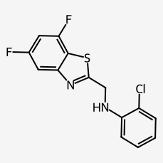 Fc1cc(F)c2sc(CNc3ccccc3Cl)nc2c1